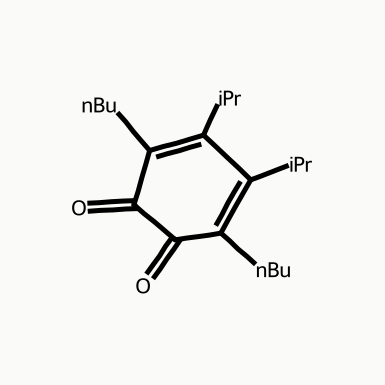 CCCCC1=C(C(C)C)C(C(C)C)=C(CCCC)C(=O)C1=O